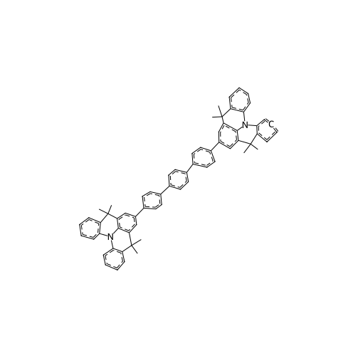 CC1(C)c2ccccc2N2c3ccccc3C(C)(C)c3cc(-c4ccc(-c5ccc(-c6ccc(-c7cc8c9c(c7)C(C)(C)c7ccccc7N9c7ccccc7C8(C)C)cc6)cc5)cc4)cc1c32